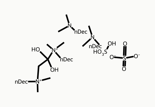 CCCCCCCCCCN(C)C.CCCCCCCCCCN(C)C.CCCCCCCCCC[N+](C)(C)CC(O)(O)[N+](C)(C)CCCCCCCCCC.O=S(=O)(O)O.O=S(=O)([O-])[O-]